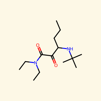 CCCC(NC(C)(C)C)C(=O)C(=O)N(CC)CC